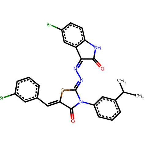 CC(C)c1cccc(N2C(=O)C(=Cc3cccc(Br)c3)SC2=NN=C2C(=O)Nc3ccc(Br)cc32)c1